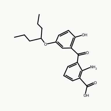 CCCC(CCC)Oc1ccc(O)c(C(=O)c2cccc(C(=O)O)c2N)c1